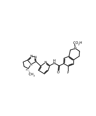 C[C@@H]1CCc2nnc(-c3cccc(NC(=O)c4cc5c(cc4F)CCN(C(=O)O)C5)n3)n21